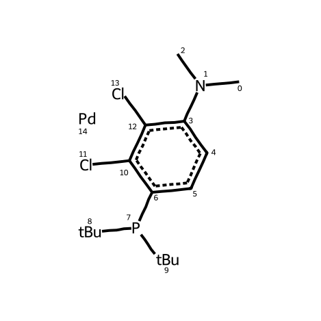 CN(C)c1ccc(P(C(C)(C)C)C(C)(C)C)c(Cl)c1Cl.[Pd]